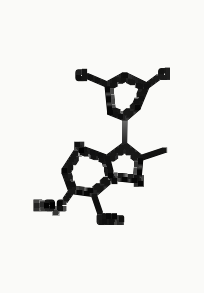 CCOC(=O)c1cnc2c(-c3cc(Cl)cc(Cl)c3)c(C)nn2c1OC